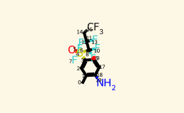 Cc1cc(S(=O)(F)(F)C(F)(F)C(F)(F)CC(F)(F)F)ccc1N